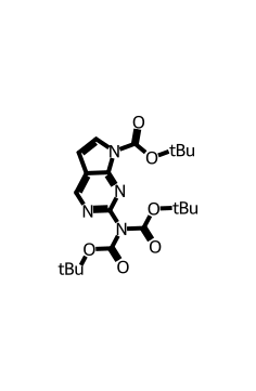 CC(C)(C)OC(=O)N(C(=O)OC(C)(C)C)c1ncc2ccn(C(=O)OC(C)(C)C)c2n1